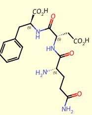 NC(=O)CC[C@H](N)C(=O)N[C@@H](CC(=O)O)C(=O)N[C@@H](Cc1ccccc1)C(=O)O